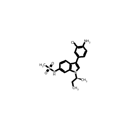 CC[C@H](C)n1cc(-c2ccc(N)c(Cl)c2)c2ccc(NS(C)(=O)=O)cc21